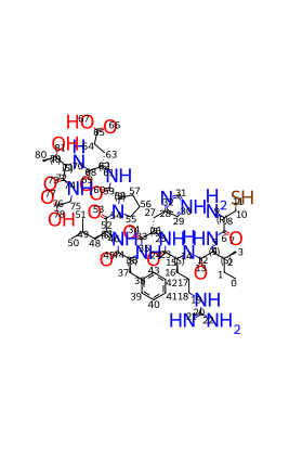 CC[C@H](C)[C@H](NC(=O)[C@@H](N)CS)C(=O)N[C@@H](CCCNC(=N)N)C(=O)N[C@@H](Cc1c[nH]cn1)C(=O)N[C@@H](Cc1ccccc1)C(=O)N[C@@H](CC(C)C)C(=O)N1CCC[C@H]1C(=O)N[C@@H](CCC(=O)O)C(=O)N[C@H](C(=O)NCC(=O)O)[C@@H](C)O